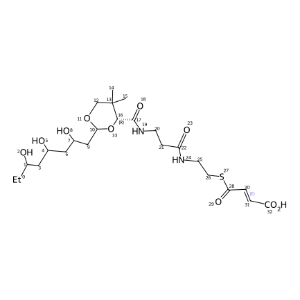 CCC(O)CC(O)CC(O)CC1OCC(C)(C)[C@H](C(=O)NCCC(=O)NCCSC(=O)/C=C/C(=O)O)O1